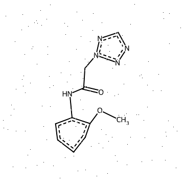 COc1ccccc1NC(=O)Cn1ncnn1